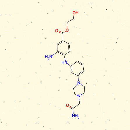 NC(=O)CN1CCN(c2cccc(Nc3ccc(C(=O)OCCO)cc3N)c2)CC1